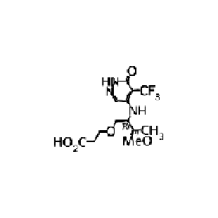 CO[C@H](C)[C@@H](COCCC(=O)O)Nc1cn[nH]c(=O)c1C(F)(F)F